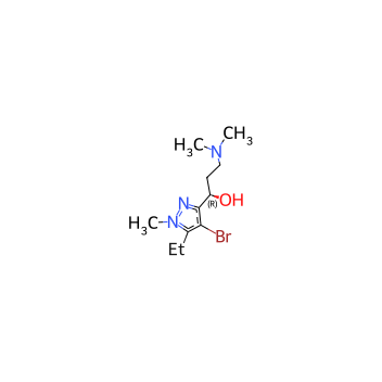 CCc1c(Br)c([C@H](O)CCN(C)C)nn1C